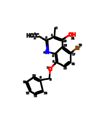 Cc1c(C(=O)O)nc2c(OCc3ccccc3)ccc(Br)c2c1O